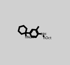 CCCCCCCCCC1(c2ccc(NCCCCCCCC)c(C)c2)CCCCC1